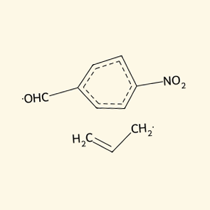 O=[C]c1ccc([N+](=O)[O-])cc1.[CH2]C=C